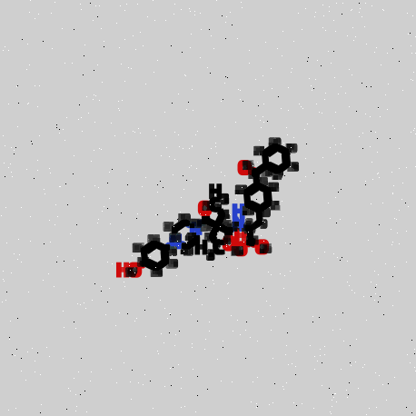 CCC(CC)(C(=O)N[C@@H](Cc1ccc(C(=O)c2ccccc2)cc1)C(=O)O)C(=O)N1CCN(c2ccc(O)cc2)CC1